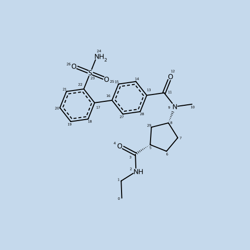 CCNC(=O)[C@H]1CC[C@@H](N(C)C(=O)c2ccc(-c3ccccc3S(N)(=O)=O)cc2)C1